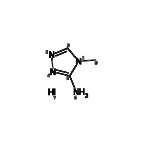 Cn1cnnc1N.I